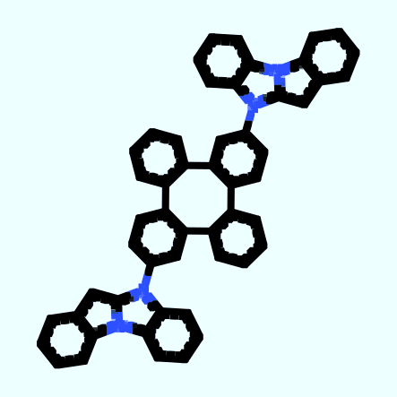 c1ccc2c(c1)-c1ccc(-n3c4ccccc4n4c5ccccc5cc34)cc1-c1ccccc1-c1ccc(-n3c4ccccc4n4c5ccccc5cc34)cc1-2